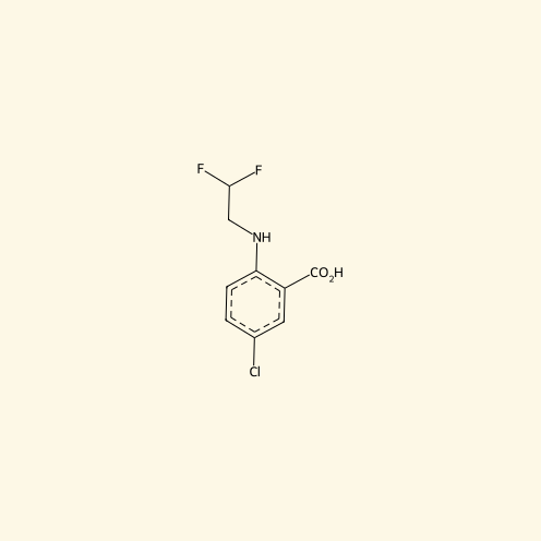 O=C(O)c1cc(Cl)ccc1NCC(F)F